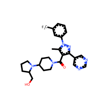 Cc1c(C(=O)N2CCC(N3CCCC3CO)CC2)c(-c2cncnc2)nn1-c1cccc(C(F)(F)F)c1